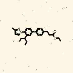 CCOC(=O)CCc1ccc(-c2ccc(-n3ccc(C)n3)c(C(CC)CC)c2)cc1